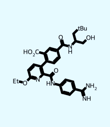 CCOc1ccc(-c2ccc(C(=O)NC(CO)CC(C)(C)C)cc2C(=O)O)c(C(=O)Nc2ccc(C(=N)N)cc2)n1